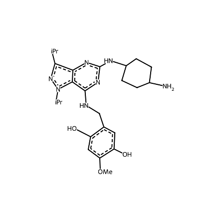 COc1cc(O)c(CNc2nc(NC3CCC(N)CC3)nc3c(C(C)C)nn(C(C)C)c23)cc1O